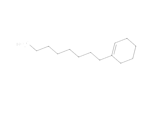 O=C(O)CCCCCCCC1=CCCCC1